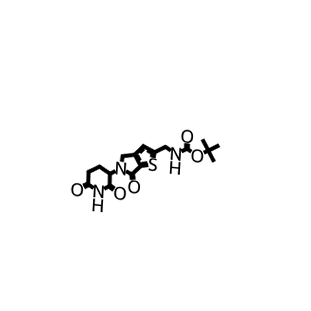 CC(C)(C)OC(=O)NCc1cc2c(s1)C(=O)N(C1CCC(=O)NC1=O)C2